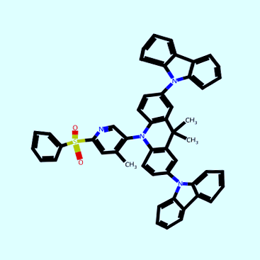 Cc1cc(S(=O)(=O)c2ccccc2)ncc1N1c2ccc(-n3c4ccccc4c4ccccc43)cc2C(C)(C)c2cc(-n3c4ccccc4c4ccccc43)ccc21